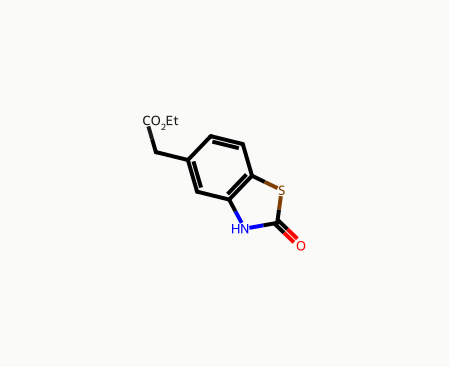 CCOC(=O)Cc1ccc2sc(=O)[nH]c2c1